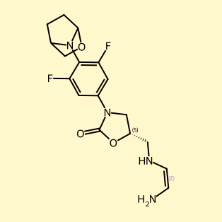 N/C=C\NC[C@H]1CN(c2cc(F)c(N3C4CCC3OC4)c(F)c2)C(=O)O1